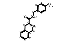 O=C(NCc1ccc(C(F)(F)F)cc1)C1Cc2ccccc2CN1